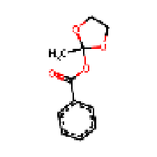 CC1(OC(=O)c2ccccc2)OCCO1